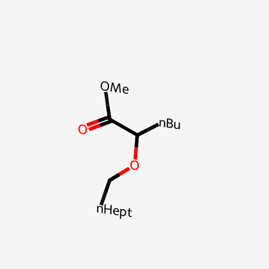 CCCCCCCCOC(CCCC)C(=O)OC